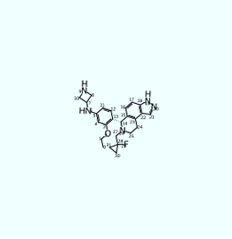 CCOc1cc(NC2CNC2)ccc1[C@@H]1c2ccc3[nH]ncc3c2CCN1CC1(F)CC1